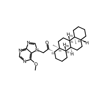 COc1ncnc2ncn(CC(=O)[C@H]3CCC[C@H]4[C@@H]5CC[C@H]6CCCC[C@]6(C)[C@H]5CC[C@]34C)c12